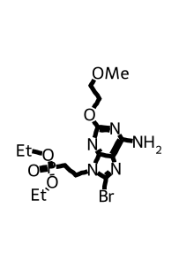 CCOP(=O)(CCn1c(Br)nc2c(N)nc(OCCOC)nc21)OCC